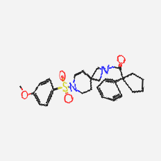 COc1ccc(S(=O)(=O)N2CCC3(CC2)CN(C(=O)C2(c4ccccc4)CCCC2)C3)cc1